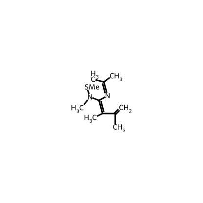 C=C(C)/C(C)=C(\N=C(C)C)N(C)SC